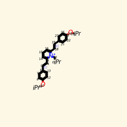 CC(C)C[n+]1c(/C=C/c2ccc(OC(C)C)cc2)cccc1/C=C/c1ccc(OC(C)C)cc1